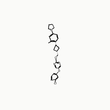 Cc1cc(N2CCCC2)ccc1[C@H]1C[C@@H](COc2ncc(Oc3cccc(Cl)c3)cn2)C1